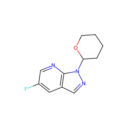 Fc1cnc2c(cnn2C2CCCCO2)c1